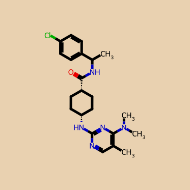 Cc1cnc(N[C@H]2CC[C@@H](C(=O)NC(C)c3ccc(Cl)cc3)CC2)nc1N(C)C